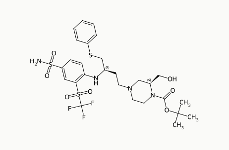 CC(C)(C)OC(=O)N1CCN(CC[C@H](CSc2ccccc2)Nc2ccc(S(N)(=O)=O)cc2S(=O)(=O)C(F)(F)F)C[C@H]1CO